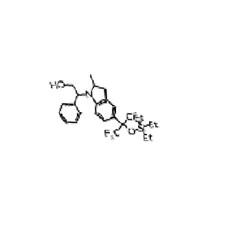 CC[Si](CC)(CC)OC(c1ccc2c(c1)CC(C)N2C(CO)c1ccccc1)(C(F)(F)F)C(F)(F)F